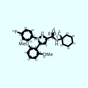 CCOC(=O)C1(NC(=O)c2cc(-c3c(OC)cccc3OC)n(-c3ccc(F)cc3)n2)CCCCC1